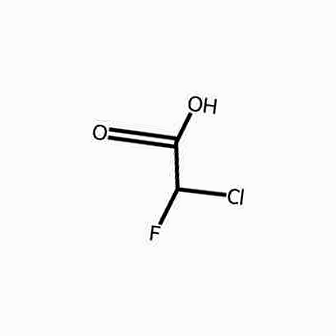 O=C(O)C(F)Cl